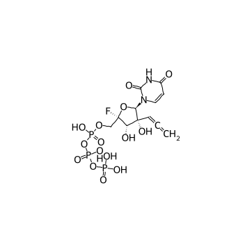 C=C=C[C@]1(O)[C@H](n2ccc(=O)[nH]c2=O)O[C@](F)(COP(=O)(O)OP(=O)(O)OP(=O)(O)O)[C@H]1O